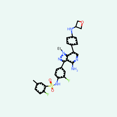 CCn1nc(-c2ccc(NS(=O)(=O)c3cc(C)ccc3F)c(F)c2)c2c(N)ncc(-c3ccc(NC4COC4)cc3)c21